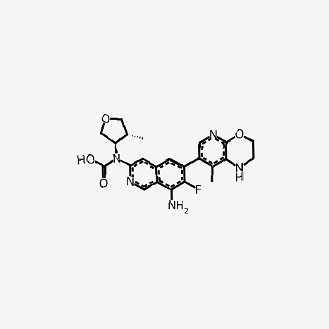 Cc1c(-c2cc3cc(N(C(=O)O)[C@H]4COC[C@@H]4C)ncc3c(N)c2F)cnc2c1NCCO2